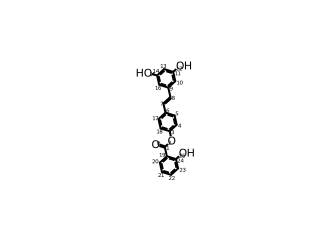 O=C(Oc1ccc(/C=C/c2cc(O)cc(O)c2)cc1)c1ccccc1O